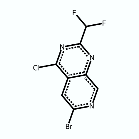 FC(F)c1nc(Cl)c2cc(Br)ncc2n1